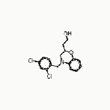 OCCC1CN(Cc2ccc(Cl)cc2Cl)c2ccccc2O1